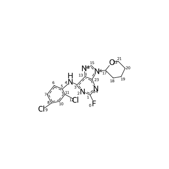 Fc1nc(Nc2ccc(Cl)cc2Cl)c2ncn(C3CCCCO3)c2n1